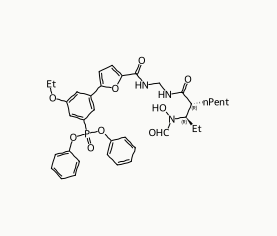 CCCCC[C@@H](C(=O)NCNC(=O)c1ccc(-c2cc(OCC)cc(P(=O)(Oc3ccccc3)Oc3ccccc3)c2)o1)[C@@H](CC)N(O)C=O